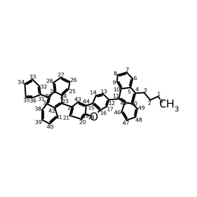 CCCCc1c2ccccc2c(-c2ccc3c(c2)oc2ccc(-c4c5ccccc5c(-c5ccccc5)c5ccccc45)cc23)c2ccccc12